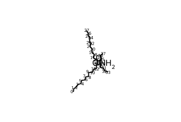 CCCCCCCCCCCCCC(OC(=O)CCCCCCCCCCC)C(N)(CCCC)CCCC